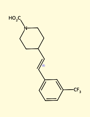 O=C(O)N1CCC(/C=C/c2cccc(C(F)(F)F)c2)CC1